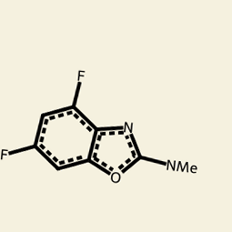 CNc1nc2c(F)cc(F)cc2o1